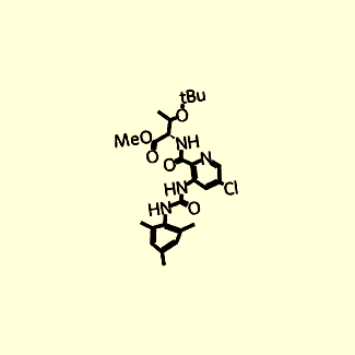 COC(=O)[C@@H](NC(=O)c1ncc(Cl)cc1NC(=O)Nc1c(C)cc(C)cc1C)C(C)OC(C)(C)C